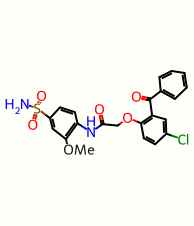 COc1cc(S(N)(=O)=O)ccc1NC(=O)COc1ccc(Cl)cc1C(=O)c1ccccc1